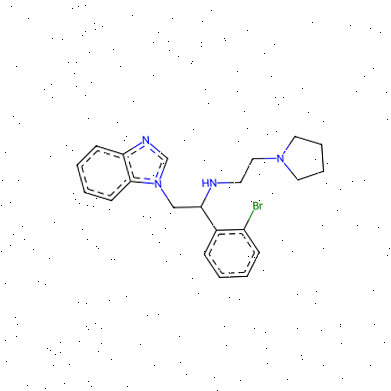 Brc1ccccc1C(Cn1cnc2ccccc21)NCCN1CCCC1